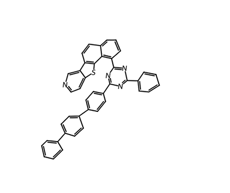 c1ccc(-c2ccc(-c3ccc(-c4nc(-c5ccccc5)nc(-c5cccc6ccc7c8cnccc8sc7c56)n4)cc3)cc2)cc1